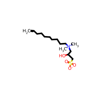 C=CCCCCCCCC[N+](C)(C)CC(O)CS(=O)(=O)[O-]